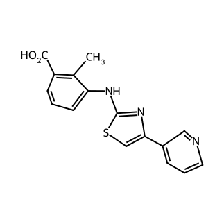 Cc1c(Nc2nc(-c3cccnc3)cs2)cccc1C(=O)O